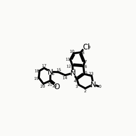 CN1CCc2c(c3cc(Cl)ccc3n2CCN2CCCCC2=O)C1